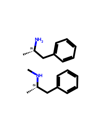 CN[C@@H](C)Cc1ccccc1.C[C@H](N)Cc1ccccc1